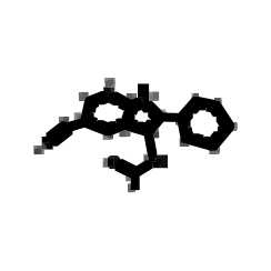 CC(=O)Nc1c(-c2ccccc2)[nH]c2ncc(C#N)cc12